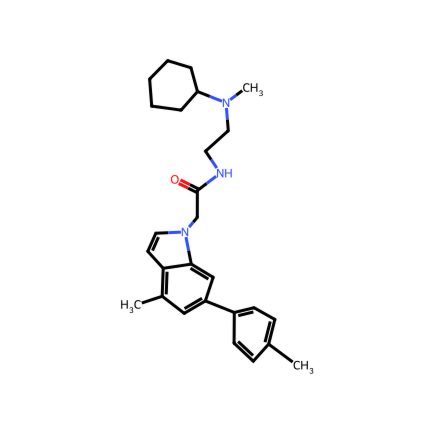 Cc1ccc(-c2cc(C)c3ccn(CC(=O)NCCN(C)C4CCCCC4)c3c2)cc1